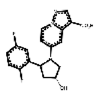 O=C(O)c1cnn2ccc(N3C[C@H](O)CC3c3cc(F)ccc3F)cc12